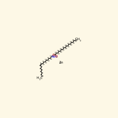 CCCCCCCC/C=C\CCCCCCCCNOC(=O)CCCCCCCCCCCCCCCCC.[Zn]